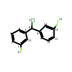 Fc1cccc(C(Cl)c2cccc(F)c2)c1